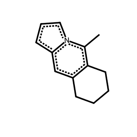 Cc1c2c(cc3cccn13)CCCC2